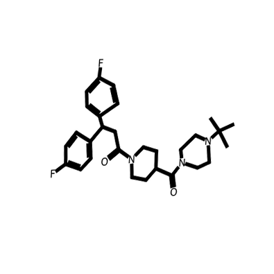 CC(C)(C)N1CCN(C(=O)C2CCN(C(=O)CC(c3ccc(F)cc3)c3ccc(F)cc3)CC2)CC1